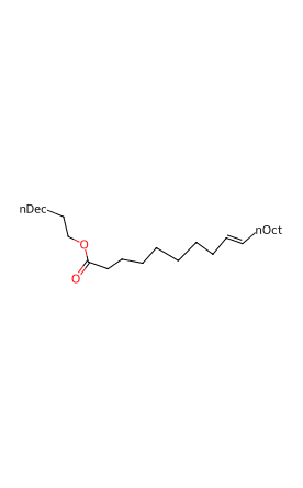 CCCCCCCCC=CCCCCCCCC(=O)OCCCCCCCCCCCC